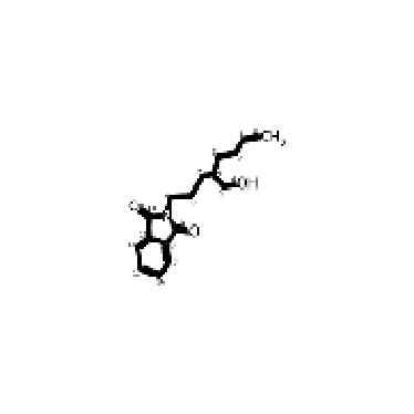 C=CCCC(CO)CCCN1C(=O)c2ccccc2C1=O